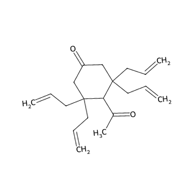 C=CCC1(CC=C)CC(=O)CC(CC=C)(CC=C)C1C(C)=O